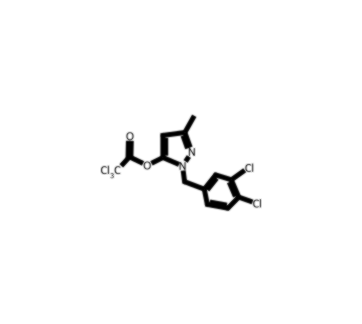 Cc1cc(OC(=O)C(Cl)(Cl)Cl)n(Cc2ccc(Cl)c(Cl)c2)n1